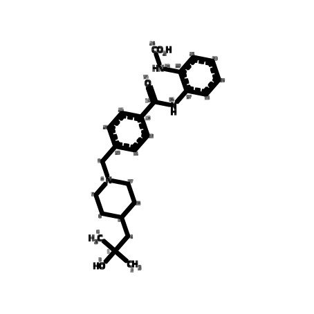 CC(C)(O)CC1CCN(Cc2ccc(C(=O)Nc3ccccc3NC(=O)O)cc2)CC1